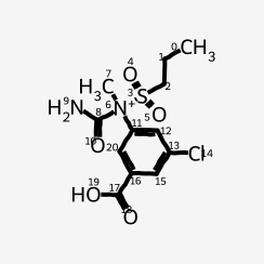 CCCS(=O)(=O)[N+](C)(C(N)=O)c1cc(Cl)cc(C(=O)O)c1